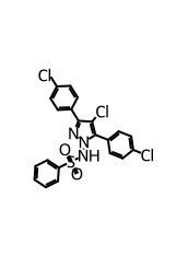 O=S(=O)(Nn1nc(-c2ccc(Cl)cc2)c(Cl)c1-c1ccc(Cl)cc1)c1ccccc1